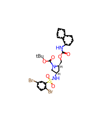 CC(C)(C)OC(=O)N1C[C@H](NS(=O)(=O)c2cc(Br)ccc2Br)C[C@@H]1COC(=O)Nc1cccc2ccccc12